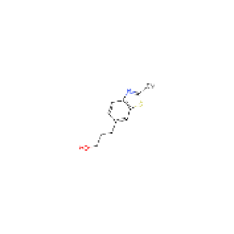 N#Cc1nc2ccc(CCCO)cc2s1